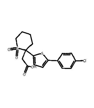 O=C(O)CC1(c2ccc(-c3ccc(Cl)cc3)s2)CCCCS1(=O)=O